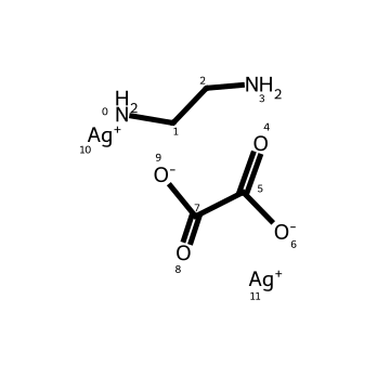 NCCN.O=C([O-])C(=O)[O-].[Ag+].[Ag+]